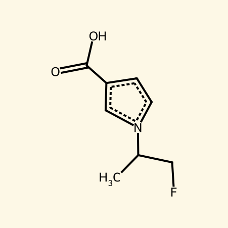 CC(CF)n1ccc(C(=O)O)c1